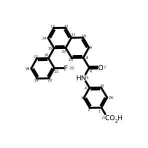 O=C(O)c1ccc(NC(=O)c2ccc3cccc(-c4ccccc4F)c3c2)cc1